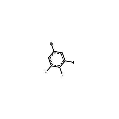 Fc1cc(Br)cc(I)c1F